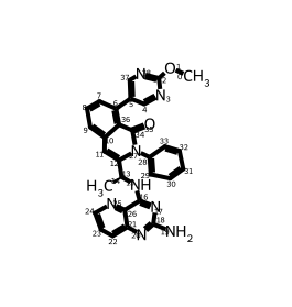 COc1ncc(-c2cccc3cc([C@H](C)Nc4nc(N)nc5cccnc45)n(-c4ccccc4)c(=O)c23)cn1